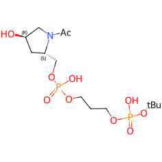 CC(=O)N1C[C@H](O)C[C@H]1COP(=O)(O)OCCCOP(=O)(O)OC(C)(C)C